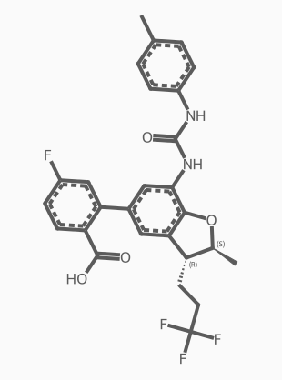 Cc1ccc(NC(=O)Nc2cc(-c3cc(F)ccc3C(=O)O)cc3c2O[C@@H](C)[C@@H]3CCC(F)(F)F)cc1